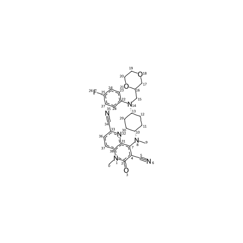 Cn1c(=O)c(C#N)c(N(C)[C@H]2CC[C@@H](N(CC3COCCO3)c3ccc(F)cc3)CC2)c2nc(C#N)ccc21